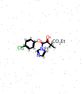 CCOC(=O)C(C)(CC)C(=O)C(Oc1ccc(Cl)cc1)n1ccnc1